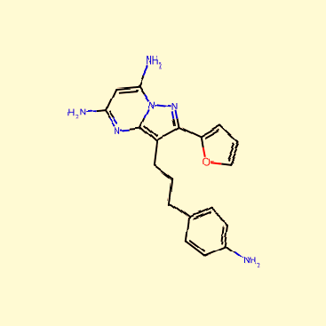 Nc1ccc(CCCc2c(-c3ccco3)nn3c(N)cc(N)nc23)cc1